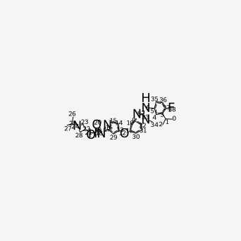 CC(C)c1cc(Nc2nc3cc(Oc4ccnc(NC(=O)OC5CN(C(C)C)C5)c4)ccc3n2C)ccc1F